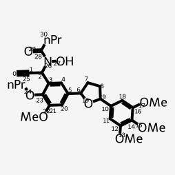 C#CC(c1cc(C2CCC(c3cc(OC)c(OC)c(OC)c3)O2)cc(OC)c1OCCC)N(O)C(=O)CCC